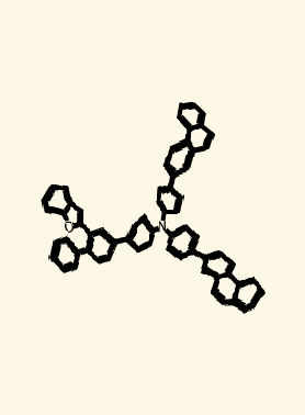 c1ccc(-c2ccc(-c3ccc(N(c4ccc(-c5ccc6c(ccc7ccccc76)c5)cc4)c4ccc(-c5ccc6c(ccc7ccccc76)c5)cc4)cc3)cc2-c2cc3ccccc3o2)cc1